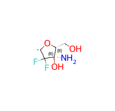 N[C@@]1(O)[C@@H](CO)O[CH]C1(F)F